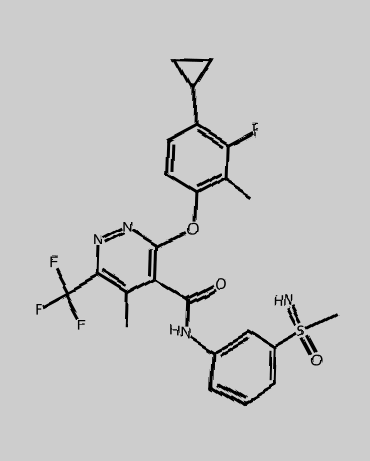 Cc1c(Oc2nnc(C(F)(F)F)c(C)c2C(=O)Nc2cccc(S(C)(=N)=O)c2)ccc(C2CC2)c1F